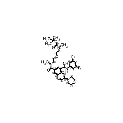 CC(Nc1cc(F)cc(F)c1)c1cc(C(=O)N(C)CCOCCN(C)C(=O)OC(C)(C)C)cc2ncc(N3CCOCC3)nc12